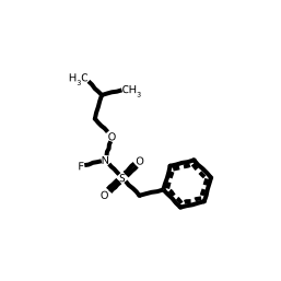 CC(C)CON(F)S(=O)(=O)Cc1ccccc1